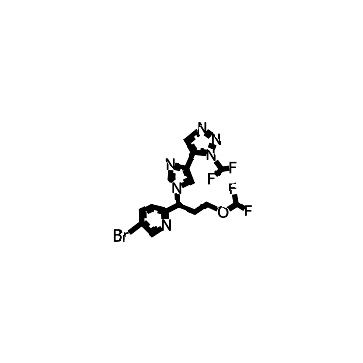 FC(F)OCCC(c1ccc(Br)cn1)n1cnc(-c2cnnn2C(F)F)c1